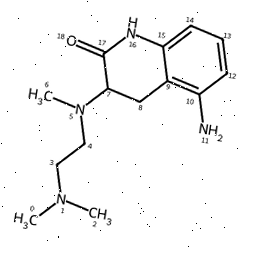 CN(C)CCN(C)C1Cc2c(N)cccc2NC1=O